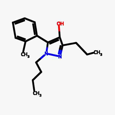 CCCCn1nc(CCC)c(O)c1-c1ccccc1C